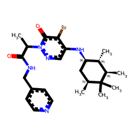 CC(C(=O)NCc1ccncc1)n1ncc(N[C@@H]2C[C@H](C)C(C)(C)[C@H](C)[C@H]2C)c(Br)c1=O